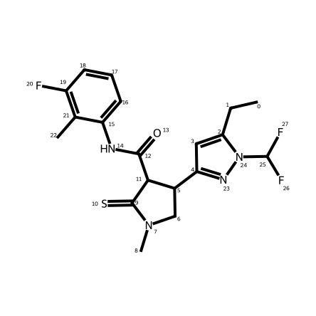 CCc1cc(C2CN(C)C(=S)C2C(=O)Nc2cccc(F)c2C)nn1C(F)F